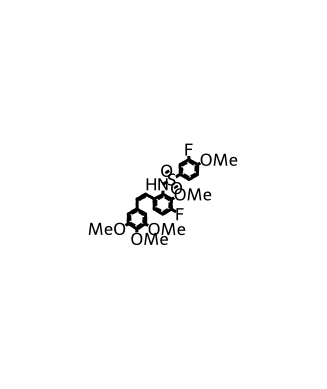 COc1ccc(S(=O)(=O)Nc2c(/C=C\c3cc(OC)c(OC)c(OC)c3)ccc(F)c2OC)cc1F